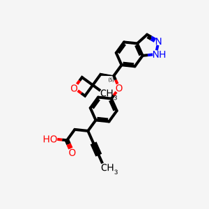 CC#CC(CC(=O)O)c1ccc(O[C@@H](CC2(C)COC2)c2ccc3cn[nH]c3c2)cc1